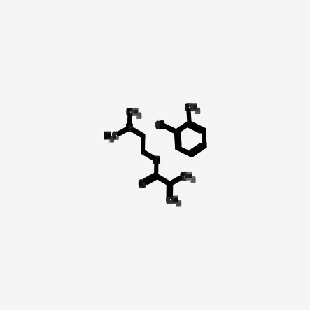 C=C(C)C(=O)OCCN(C)C.Cc1ccccc1Cl